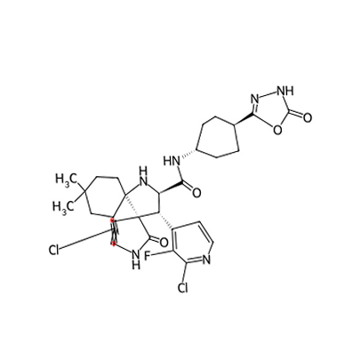 CC1(C)CCC2(CC1)N[C@@H](C(=O)N[C@H]1CC[C@H](c3n[nH]c(=O)o3)CC1)[C@H](c1ccnc(Cl)c1F)[C@]21C(=O)Nc2cc(Cl)ccc21